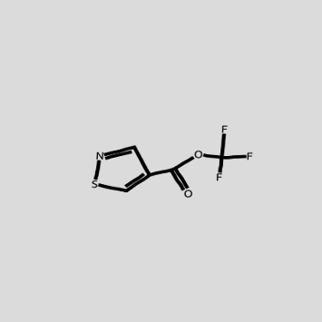 O=C(OC(F)(F)F)c1cnsc1